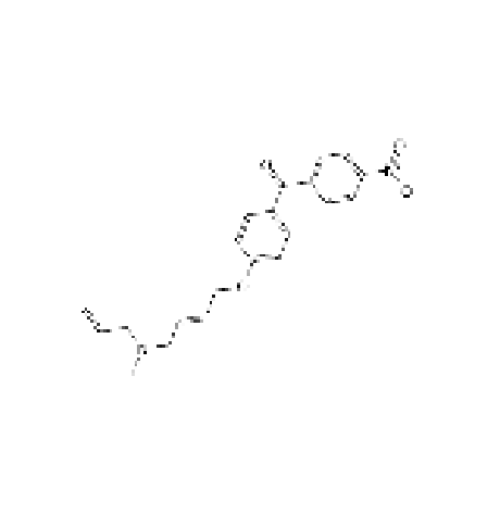 C=CCN(C)C/C=C/COc1ccc(C(=O)c2ccc([N+](=O)[O-])cc2)cc1